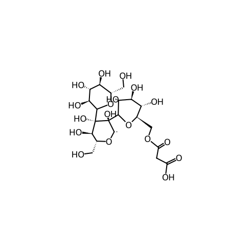 O=C(O)CC(=O)OC[C@H]1OC([C@]2(O)[CH]O[C@H](CO)[C@@H](O)[C@@]2(O)C2O[C@@H](CO)[C@H](O)[C@@H](O)[C@@H]2O)[C@H](O)[C@@H](O)[C@@H]1O